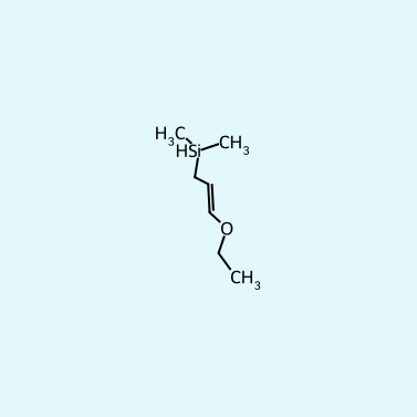 CCOC=CC[SiH](C)C